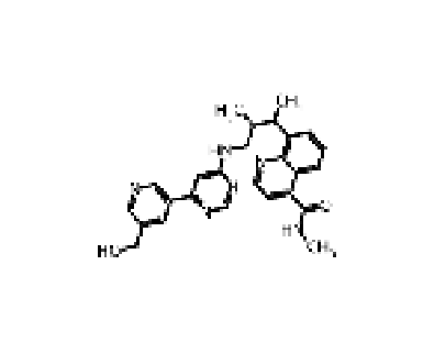 CNC(=O)c1ccnc2c(C(C)[C@H](C)CNc3cc(-c4cncc(CO)c4)ncn3)cccc12